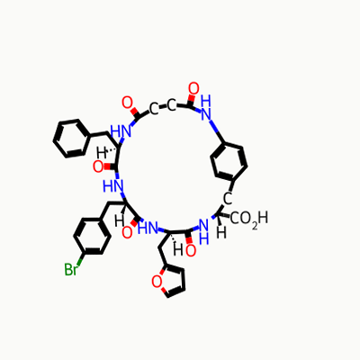 O=C1CCC(=O)N[C@H](Cc2ccccc2)C(=O)N[C@@H](Cc2ccc(Br)cc2)C(=O)N[C@H](Cc2ccco2)C(=O)N[C@@H](C(=O)O)Cc2ccc(cc2)N1